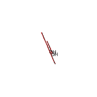 CCCCCCCCCCCCCCCCCCCCCCCCCCCCCCCCCC(O)CCCCCCCCCCCCCCCCCCCC.CCCCCCCCCCCCCCCCCCCCCCO